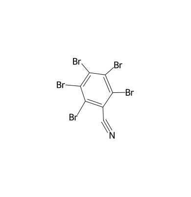 N#Cc1c(Br)c(Br)c(Br)c(Br)c1Br